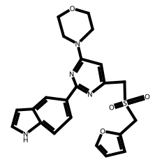 O=S(=O)(Cc1cc(N2CCOCC2)nc(-c2ccc3[nH]ccc3c2)n1)Cc1ccco1